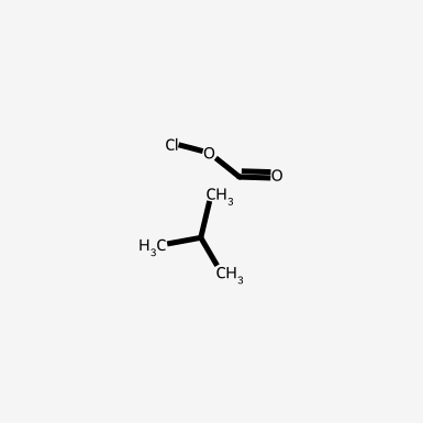 CC(C)C.O=COCl